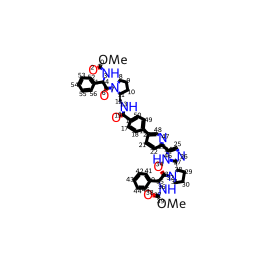 COC(=O)N[C@@H](C(=O)N1CCC[C@H]1CNC(=O)c1ccc(-c2ccc(-c3cnc([C@@H]4CCCN4C(=O)[C@H](NC(=O)OC)c4ccccc4)[nH]3)nc2)cc1)c1ccccc1